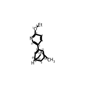 CCOc1ccc(C2=C[C@H]3CCC2N(C)C3)cn1